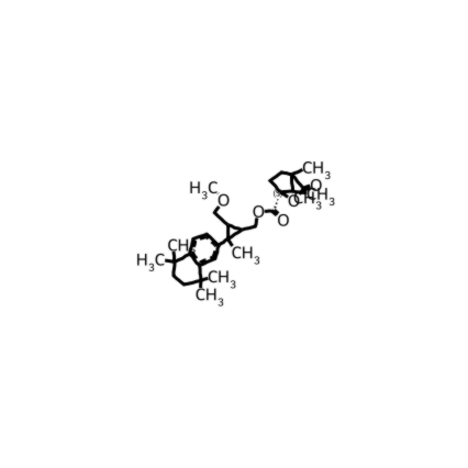 COCC1C(COC(=O)[C@@]23CCC(C)(C(=O)O2)C3(C)C)C1(C)c1ccc2c(c1)C(C)(C)CCC2(C)C